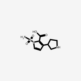 NS(=O)(=O)n1ccc(C2CCNC2)c1C(=O)O